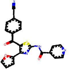 N#Cc1ccc(C(=O)c2sc(NC(=O)c3ccncc3)nc2-c2ccco2)cc1